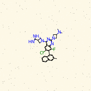 Cc1cc(-c2c(Cl)cc3c(N4CC(C(=N)N)C4)nc(N4CC(N(C)C)C4)nc3c2F)c2ccccc2c1